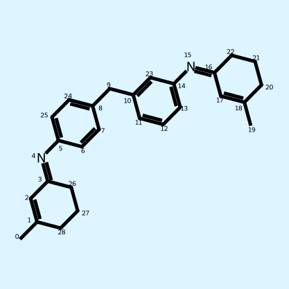 CC1=CC(=Nc2ccc(Cc3cccc(N=C4C=C(C)CCC4)c3)cc2)CCC1